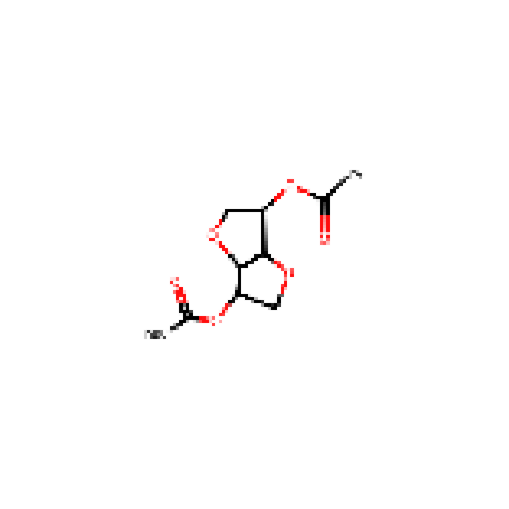 CCCCC(=O)OC1COC2C(OC(=O)C(C)C)COC12